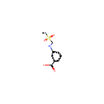 CS(=O)(=O)CNc1cccc(C(=O)O)c1